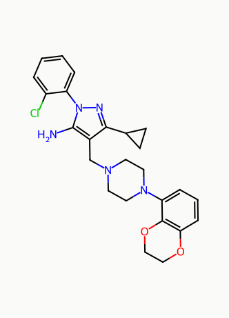 Nc1c(CN2CCN(c3cccc4c3OCCO4)CC2)c(C2CC2)nn1-c1ccccc1Cl